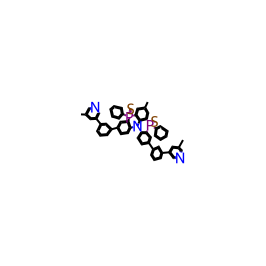 Cc1cncc(-c2cccc(-c3ccc4c(c3)P(=S)(c3ccccc3)c3cc(C)cc5c3N4c3ccc(-c4cccc(-c6cncc(C)c6)c4)cc3P5(=S)c3ccccc3)c2)c1